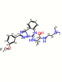 C[C@@H](Nc1nc2ccccc2c2nc(-c3cccc(OC(F)(F)F)c3)nn12)C(O)NCCN(C)C